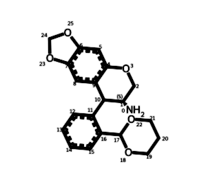 N[C@@H]1COc2cc3c(cc2C1c1ccccc1C1OCCCO1)OCO3